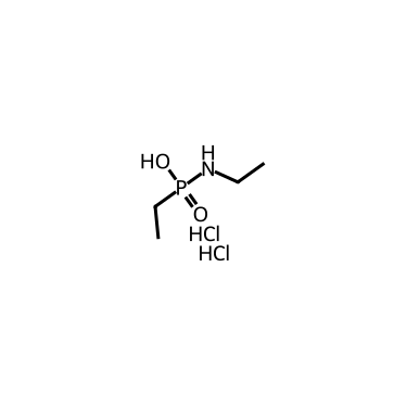 CCNP(=O)(O)CC.Cl.Cl